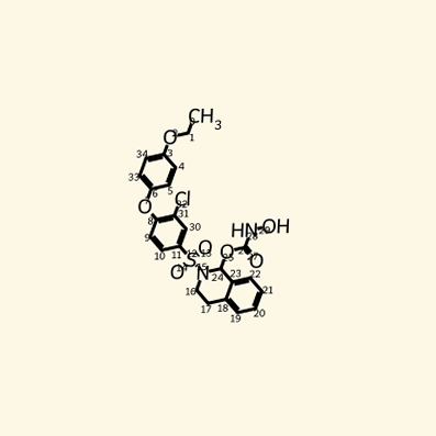 CCOc1ccc(Oc2ccc(S(=O)(=O)N3CCc4ccccc4C3OC(=O)NO)cc2Cl)cc1